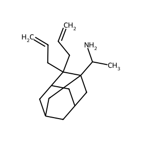 C=CCC1(CC=C)C2CC3CC(C2)CC1(C(C)N)C3